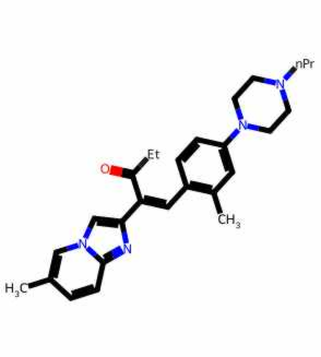 CCCN1CCN(c2ccc(/C=C(\C(=O)CC)c3cn4cc(C)ccc4n3)c(C)c2)CC1